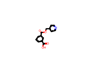 O=C(O)c1cccc(C(=O)OCc2ccncc2)c1